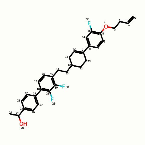 C=CCCOc1ccc(C2=CCC(CCc3ccc(-c4ccc(C(C)O)cc4)c(F)c3F)CC2)cc1F